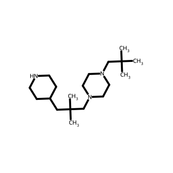 CC(C)(C)CN1CCN(CC(C)(C)CC2CCNCC2)CC1